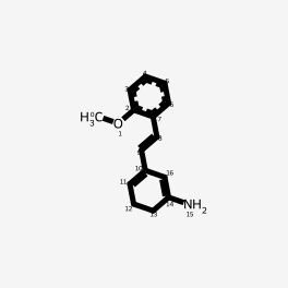 COc1ccccc1/C=C/C1=CCCC(N)=C1